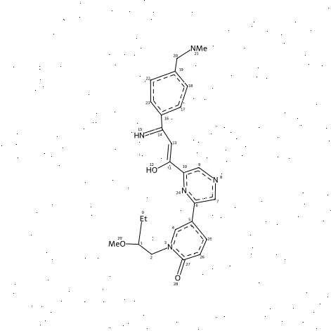 CCC(Cn1cc(-c2cncc(/C(O)=C/C(=N)c3ccc(CNC)cc3)n2)ccc1=O)OC